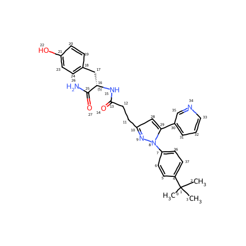 CC(C)(C)c1ccc(-n2nc(CCC(=O)N[C@@H](Cc3ccc(O)cc3)C(N)=O)cc2-c2cccnc2)cc1